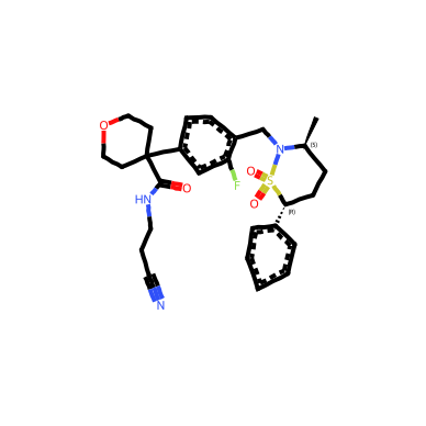 C[C@H]1CC[C@H](c2ccccc2)S(=O)(=O)N1Cc1ccc(C2(C(=O)NCCC#N)CCOCC2)cc1F